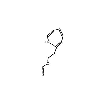 O=COCCC1=CC=CC=CN1